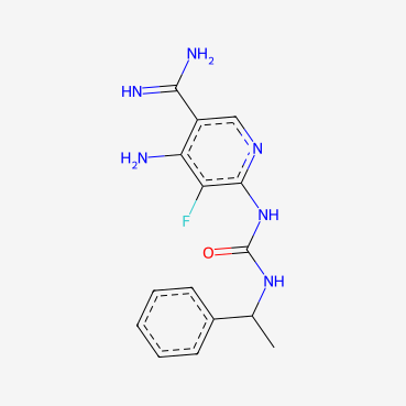 CC(NC(=O)Nc1ncc(C(=N)N)c(N)c1F)c1ccccc1